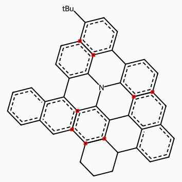 CC(C)(C)c1ccc(-c2ccccc2N(c2ccccc2-c2cccc3ccccc23)c2ccccc2-c2cccc3cccc(C4CCCCC4)c23)cc1